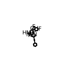 OC(Cc1nnn[nH]1)(c1ccc(F)cc1F)C(F)(F)c1ccc(C#Cc2ccccc2)cn1